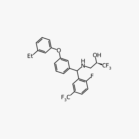 CCc1cccc(Oc2cccc(C(NC[C@@H](O)C(F)(F)F)c3cc(C(F)(F)F)ccc3F)c2)c1